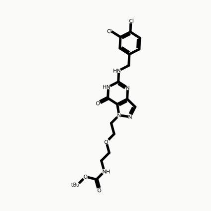 CC(C)(C)OC(=O)NCCOCCn1ncc2nc(NCc3ccc(Cl)c(Cl)c3)[nH]c(=O)c21